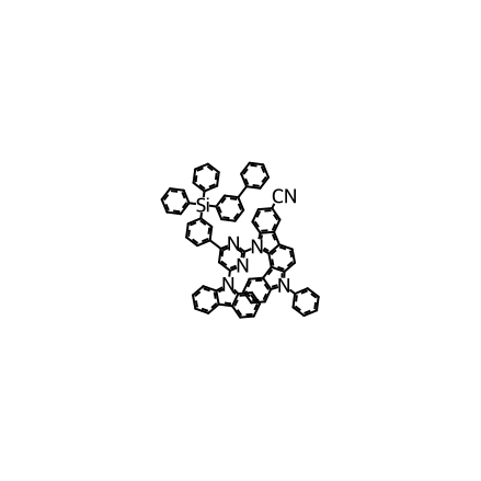 N#Cc1ccc2c(c1)c1ccc3c(c4ccccc4n3-c3ccccc3)c1n2-c1nc(-c2cccc([Si](c3ccccc3)(c3ccccc3)c3cccc(-c4ccccc4)c3)c2)cc(-n2c3ccccc3c3ccccc32)n1